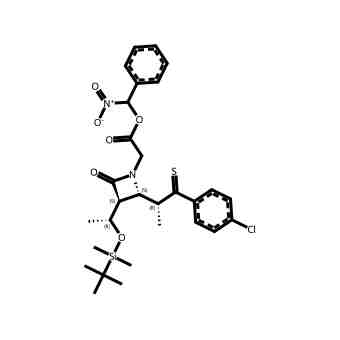 C[C@@H](O[Si](C)(C)C(C)(C)C)[C@H]1C(=O)N(CC(=O)OC(c2ccccc2)[N+](=O)[O-])[C@@H]1[C@@H](C)C(=S)c1ccc(Cl)cc1